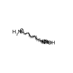 NC(=O)CCCC#CCC#CCC#CCC#CCCCCCN1CCN(CCO)CC1